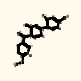 COc1ccc(C(=O)c2ccc(-c3ccc(Br)cc3F)cc2F)cn1